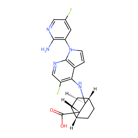 Nc1ncc(F)cc1-n1ccc2c(N[C@H]3[C@H]4CC[C@H](CC4)[C@@H]3C(=O)O)c(F)cnc21